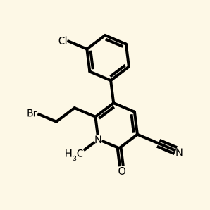 Cn1c(CCBr)c(-c2cccc(Cl)c2)cc(C#N)c1=O